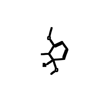 COC1=CC=CC(Br)(OC)C1C